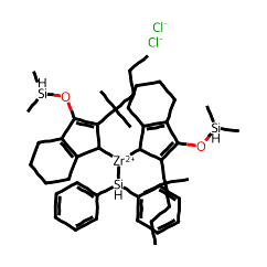 CCCC(C)(C)C1=C(O[SiH](C)C)C2=C(CCCC2)[CH]1[Zr+2]([CH]1C2=C(CCCC2)C(O[SiH](C)C)=C1C(C)(C)CCC)[SiH](c1ccccc1)c1ccccc1.[Cl-].[Cl-]